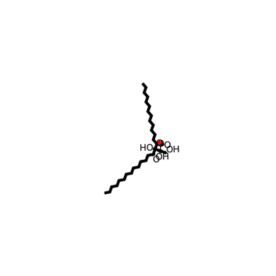 CCCCCCCCCCCCCC(=O)C(O)(C(=O)CCCCCCCCCCCCC)C(O)(CO)P(=O)=O